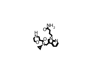 NC(=O)CCCn1cc(CN(C(=O)C2CNCCO2)C2CC2)c2cccnc21